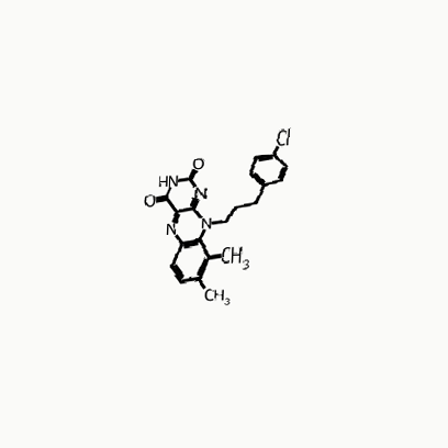 Cc1ccc2nc3c(=O)[nH]c(=O)nc-3n(CCCc3ccc(Cl)cc3)c2c1C